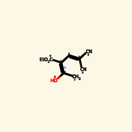 CCOC(=O)/C(C=C(C#N)C#N)=C(/C)O